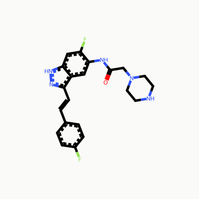 O=C(CN1CCNCC1)Nc1cc2c(C=Cc3ccc(F)cc3)n[nH]c2cc1F